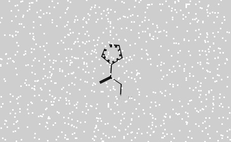 C=C(CCCCC)c1ccsc1